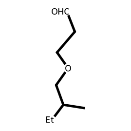 CCC(C)COCCC=O